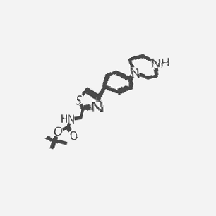 CC(C)(C)OC(=O)NCc1nc(-c2ccc(N3CCNCC3)cc2)cs1